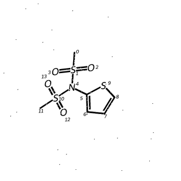 CS(=O)(=O)N(c1[c]ccs1)S(C)(=O)=O